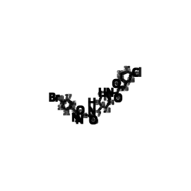 O=C(NN1CCC(CNC(=O)c2nnc(-c3ccc(Br)cc3)o2)CC1)c1cc2cc(Cl)ccc2o1